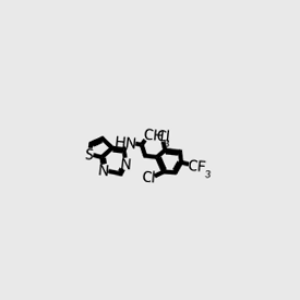 CC(Cc1c(Cl)cc(C(F)(F)F)cc1Cl)Nc1ncnc2sccc12